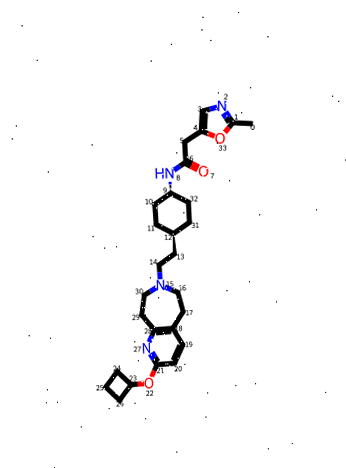 Cc1ncc(CC(=O)N[C@H]2CC[C@H](CCN3CCc4ccc(OC5CCC5)nc4CC3)CC2)o1